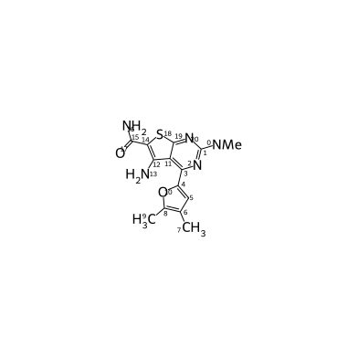 CNc1nc(-c2cc(C)c(C)o2)c2c(N)c(C(N)=O)sc2n1